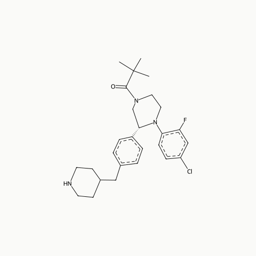 CC(C)(C)C(=O)N1CCN(c2ccc(Cl)cc2F)[C@H](c2ccc(CC3CCNCC3)cc2)C1